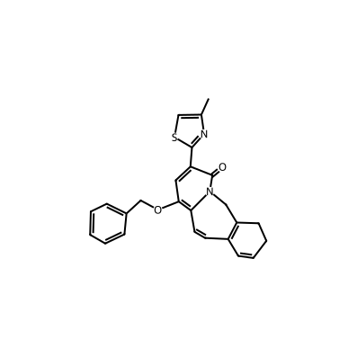 Cc1csc(-c2cc(OCc3ccccc3)c3n(c2=O)CC2=C(C=CCC2)C=C3)n1